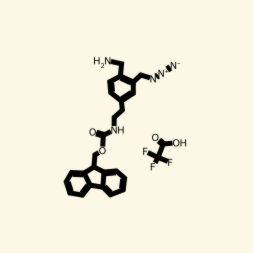 O=C(O)C(F)(F)F.[N-]=[N+]=NCc1cc(CCNC(=O)OCC2c3ccccc3-c3ccccc32)ccc1CN